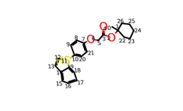 CC1(OC(=O)COc2ccc([SH]3C=Cc4ccccc43)cc2)CCCCC1